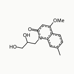 COc1cc(=O)n(CC(O)CO)c2cc(C)ccc12